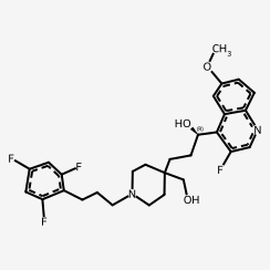 COc1ccc2ncc(F)c([C@H](O)CCC3(CO)CCN(CCCc4c(F)cc(F)cc4F)CC3)c2c1